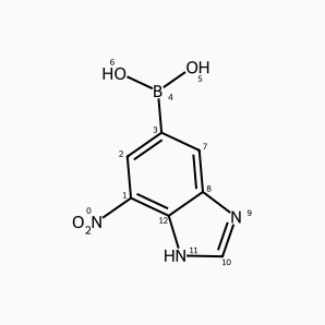 O=[N+]([O-])c1cc(B(O)O)cc2nc[nH]c12